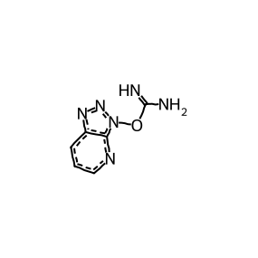 N=C(N)On1nnc2cccnc21